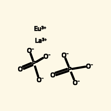 O=P([O-])([O-])[O-].O=P([O-])([O-])[O-].[Eu+3].[La+3]